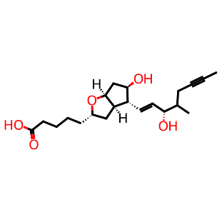 CC#CCC(C)[C@H](O)/C=C/[C@@H]1[C@H]2C[C@H](CCCCC(=O)O)O[C@H]2C[C@H]1O